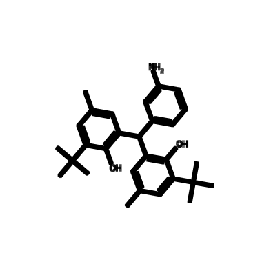 Cc1cc(C(c2cccc(N)c2)c2cc(C)cc(C(C)(C)C)c2O)c(O)c(C(C)(C)C)c1